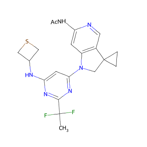 CC(=O)Nc1cc2c(cn1)C1(CC1)CN2c1cc(NC2CSC2)nc(C(C)(F)F)n1